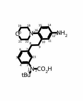 CC(C)(C)N(C(=O)O)c1cccc(CCc2cc(N)ccc2N2CCOCC2)c1